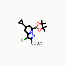 CCOC(=O)c1nn2c(B3OC(C)(C)C(C)(C)O3)cc(C3CC3)cc2c1Cl